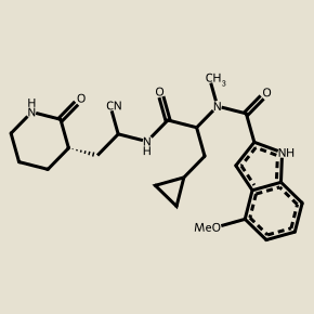 COc1cccc2[nH]c(C(=O)N(C)C(CC3CC3)C(=O)NC(C#N)C[C@@H]3CCCNC3=O)cc12